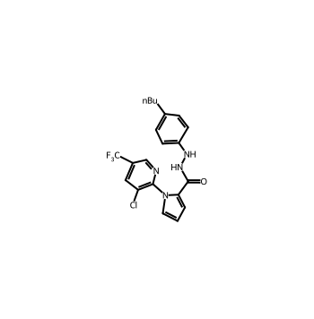 CCCCc1ccc(NNC(=O)c2cccn2-c2ncc(C(F)(F)F)cc2Cl)cc1